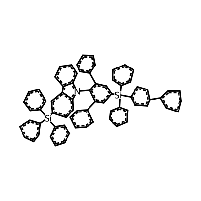 c1ccc(-c2ccc([Si](c3ccccc3)(c3ccccc3)c3cc(-c4ccccc4)c(-n4c5ccccc5c5cc([Si](c6ccccc6)(c6ccccc6)c6ccccc6)ccc54)c(-c4ccccc4)c3)cc2)cc1